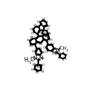 Cn1c(-c2ccccc2)nc2ccc(-c3cccc4c(-c5cccc6c5C5(CCCC5)c5ccccc5-6)c5cccc(-c6ccc7nc(-c8ccccc8)n(C)c7c6)c5cc34)cc21